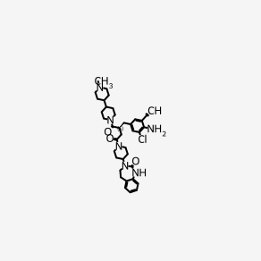 C#Cc1cc(C[C@@H](CC(=O)N2CCC(N3CCc4ccccc4NC3=O)CC2)C(=O)N2CCC(C3CCN(C)CC3)CC2)cc(Cl)c1N